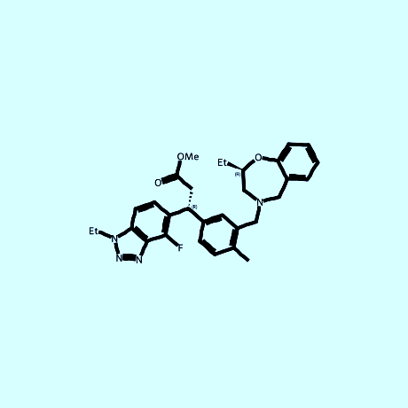 CC[C@@H]1CN(Cc2cc([C@@H](CC(=O)OC)c3ccc4c(nnn4CC)c3F)ccc2C)Cc2ccccc2O1